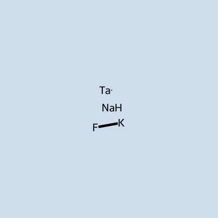 [F][K].[NaH].[Ta]